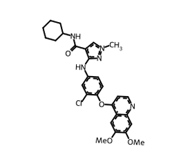 COc1cc2nccc(Oc3ccc(Nc4nn(C)cc4C(=O)NC4CCCCC4)cc3Cl)c2cc1OC